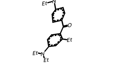 CCc1cc(N(CC)CC)ccc1C(=O)c1ccc(N(CC)CC)cc1